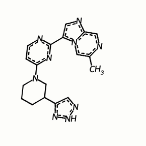 Cc1cn2c(-c3nccc(N4CCCC(c5cn[nH]n5)C4)n3)cnc2cn1